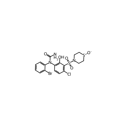 NC(=O)N(c1ccccc1Br)c1ccc(Cl)c(S(=O)(=O)N2CC[S+]([O-])CC2)c1O